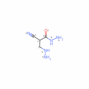 N#CC(CNN)C(=O)NN